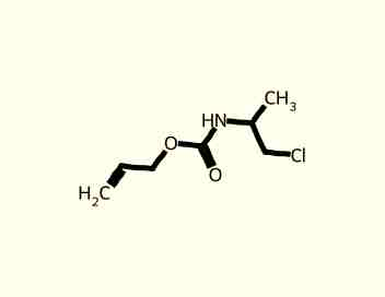 C=CCOC(=O)NC(C)CCl